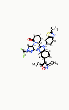 Cc1nc2c(s1)C[C@H](n1c([C@@H]3CCCC(=O)N3c3cnn(C(F)F)c3)nc3cc(-c4c(C)noc4C)ccc31)CC2